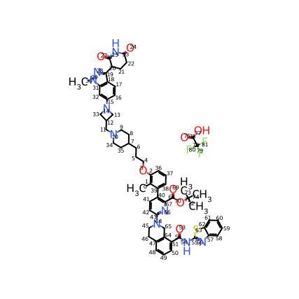 Cc1c(OCCCC2CCN(CC3CN(c4ccc5c(C6CCC(=O)NC6=O)nn(C)c5c4)C3)CC2)cccc1-c1ccc(N2CCc3cccc(C(=O)Nc4nc5ccccc5s4)c3C2)nc1C(=O)OC(C)(C)C.O=C(O)C(F)(F)F